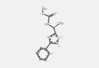 CC(C)(C)OC(=O)N[C@H](c1nc(-c2ccccc2)no1)C(C)(C)C